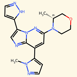 C[C@@H]1COCCN1c1cc(-c2ccnn2C)c2ncc(-c3ccn[nH]3)n2n1